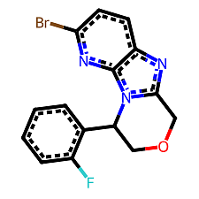 Fc1ccccc1C1COCc2nc3ccc(Br)nc3n21